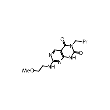 COCCNc1ncc2c(=O)n(CC(C)C)c(=O)[nH]c2n1